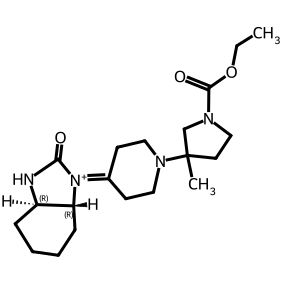 CCOC(=O)N1CCC(C)(N2CCC(=[N+]3C(=O)N[C@@H]4CCCC[C@H]43)CC2)C1